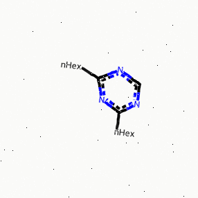 CCCCCCc1ncnc(CCCCCC)n1